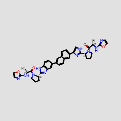 CC(C)[C@H](Nc1ncco1)C(=O)N1CCC[C@H]1c1nc(-c2ccc3cc(-c4ccc5[nH]c([C@@H]6CCCN6C(=O)[C@@H](Nc6ncco6)C(C)C)nc5c4)ccc3c2)c[nH]1